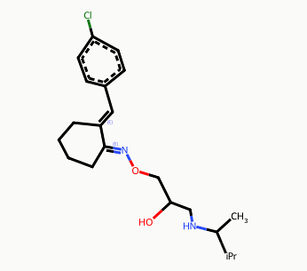 CC(C)C(C)NCC(O)CO/N=C1\CCCC\C1=C/c1ccc(Cl)cc1